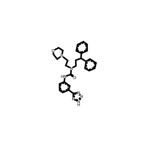 O=C(Nc1cccc(-c2nn[nH]n2)c1)N(CCC(c1ccccc1)c1ccccc1)CCN1CCOCC1